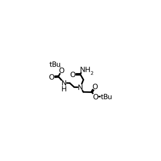 CC(C)(C)OC(=O)CN(CCNC(=O)OC(C)(C)C)CC(N)=O